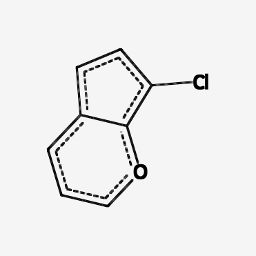 Clc1ccc2cccoc1-2